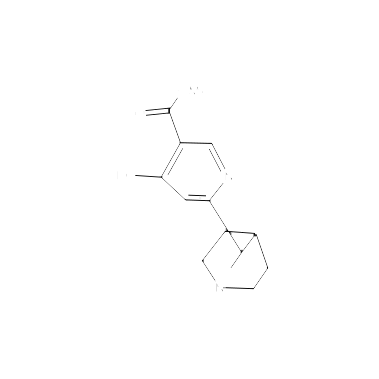 COC(=O)c1cnc(C2CN3CCC2CC3)cc1C